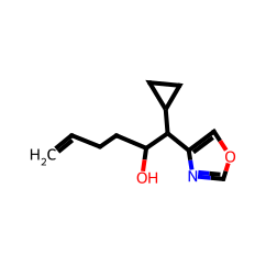 C=CCCC(O)C(c1cocn1)C1CC1